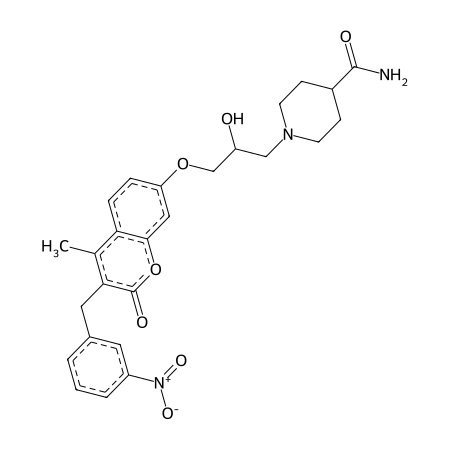 Cc1c(Cc2cccc([N+](=O)[O-])c2)c(=O)oc2cc(OCC(O)CN3CCC(C(N)=O)CC3)ccc12